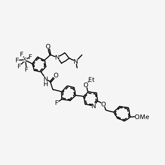 CCOc1cc(OCc2ccc(OC)cc2)ncc1-c1ccc(CC(=O)Nc2cc(C(=O)N3CC(N(C)C)C3)cc(S(F)(F)(F)(F)F)c2)c(F)c1